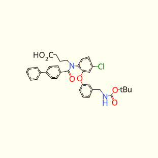 CC(C)(C)OC(=O)NCc1cccc(Oc2cc(Cl)ccc2N(CCCC(=O)O)C(=O)c2ccc(-c3ccccc3)cc2)c1